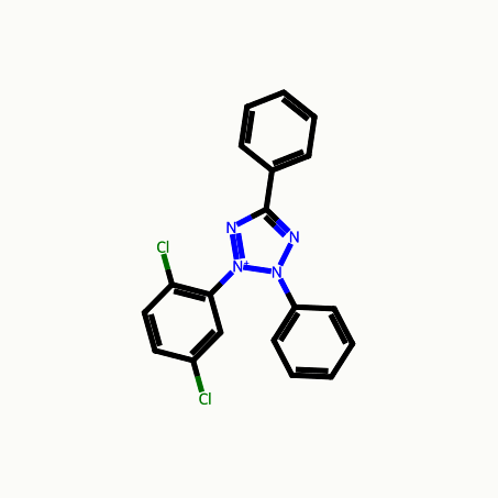 Clc1ccc(Cl)c(-[n+]2nc(-c3ccccc3)nn2-c2ccccc2)c1